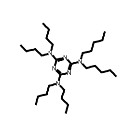 CCCCCN(CCCCC)c1nc(N(CCCC)CCCC)nc(N(CCCC)CCCC)n1